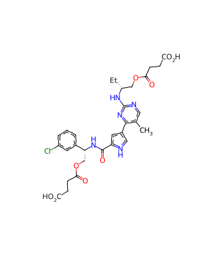 CC[C@H](COC(=O)CCC(=O)O)Nc1ncc(C)c(-c2c[nH]c(C(=O)N[C@H](COC(=O)CCC(=O)O)c3cccc(Cl)c3)c2)n1